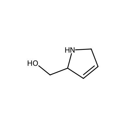 OCC1C=CCN1